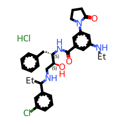 CCNc1cc(C(=O)N[C@@H](Cc2ccccc2)[C@@H](O)CNC(CC)c2cccc(Cl)c2)cc(N2CCCC2=O)c1.Cl